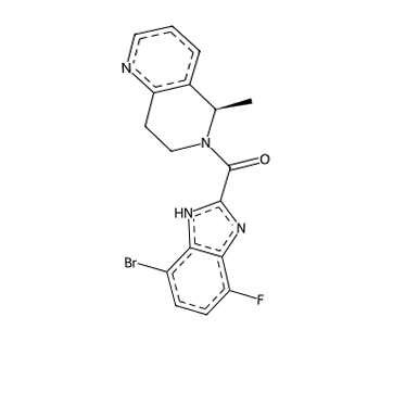 C[C@@H]1c2cccnc2CCN1C(=O)c1nc2c(F)ccc(Br)c2[nH]1